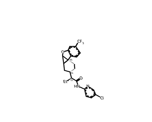 CC[C@H](C(=O)Nc1ccc(Cl)cn1)[C@H]1CC[C@@]23c4ccc(C(F)(F)F)cc4OC2C3C1